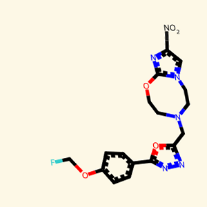 O=[N+]([O-])c1cn2c(n1)OCCN(Cc1nnc(-c3ccc(OCF)cc3)o1)CC2